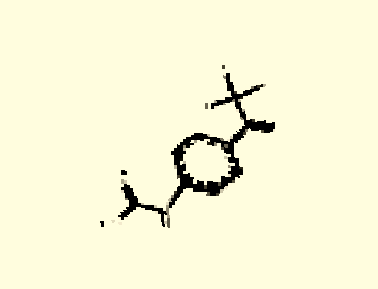 C=C(c1ccc(NC(=O)O)cc1)C(F)(F)F